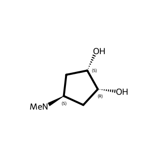 CN[C@@H]1C[C@@H](O)[C@@H](O)C1